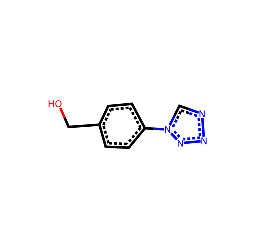 OCc1ccc(-n2cnnn2)cc1